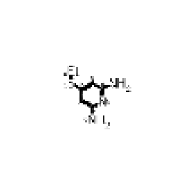 CCSc1cc(N)nc(N)c1